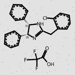 Clc1ccccc1CC1=N[C@H](c2ccccc2)[C@H](c2ccccc2)N1.O=C(O)C(F)(F)F